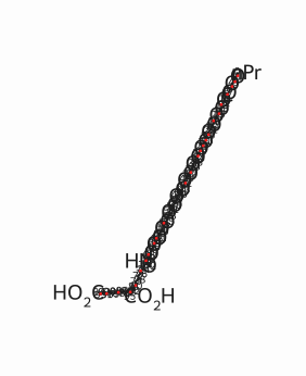 CCCOCCOCCOCCOCCOCCOCCOCCOCCOCCOCCOCCOCCOCCOCCOCCOCCOCCOCCOCCOCCOCCOCCOCCNC(=O)CCCCCCCCCCC(CCCCCCCCCCC(=O)O)C(=O)O